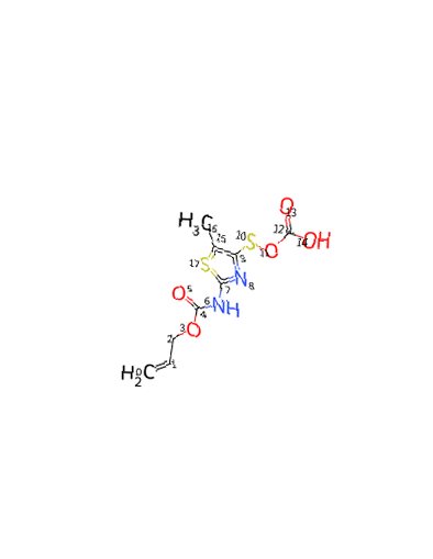 C=CCOC(=O)Nc1nc(SOC(=O)O)c(C)s1